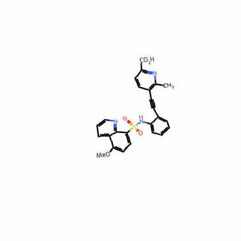 COc1ccc(S(=O)(=O)Nc2ccccc2C#Cc2ccc(C(=O)O)nc2C)c2ncccc12